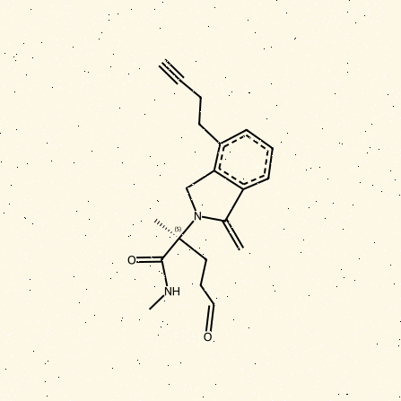 C#CCCc1cccc2c1CN([C@@](C)(CCC=O)C(=O)NC)C2=C